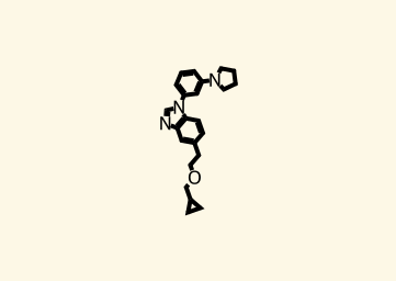 c1cc(N2CCCC2)cc(-n2cnc3cc(CCOCC4CC4)ccc32)c1